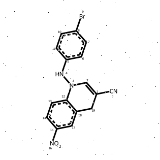 N#CC1=CN(Nc2ccc(Br)cc2)c2ccc([N+](=O)[O-])cc2C1